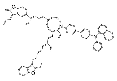 C=C/C=C1\C(=C)OC2C=CC(/C(C=C)=C/C=C/c3cccn(C(=C)/C=C\C(=C)C4=CC=C(N(c5ccccc5)c5cccc6ccccc56)CC4)c(C=C)c(/C=C/C(C=C)=C/C=C/C/C=c4\c(=C/C)oc5ccccc45)cc3)=CC12